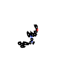 CC1(C)c2cc3oc4ccccc4c3cc2-c2cc3c4ccccc4n(-c4ccc5c(c4)c4cc(-c6ccc7c8ccccc8c8ccccc8c7c6)ccc4n5-c4ccccc4)c3cc21